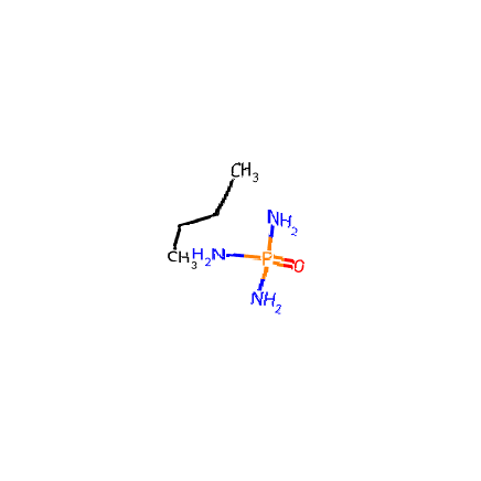 CCCC.NP(N)(N)=O